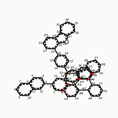 c1cc(-c2ccc3ccccc3c2)cc(N(c2ccc(-c3cccc4c3oc3ccccc34)cc2)c2ccccc2-c2ccccc2-c2ccccc2-n2c3ccccc3c3ccccc32)c1